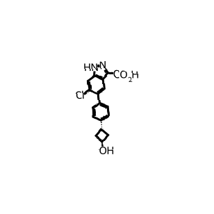 O=C(O)c1n[nH]c2cc(Cl)c(-c3ccc([C@H]4C[C@H](O)C4)cc3)cc12